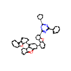 c1ccc(-c2nc(-c3ccccc3)nc(-c3cccc4c3oc3cccc(-c5cc(-c6cccc7c6oc6ccccc67)c6c(c5)oc5ccccc56)c34)n2)cc1